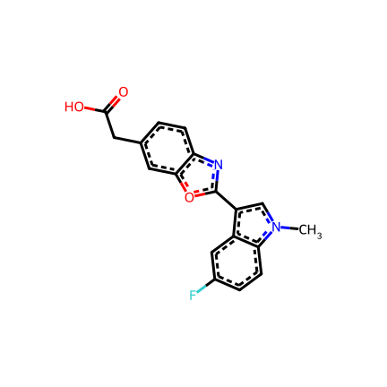 Cn1cc(-c2nc3ccc(CC(=O)O)cc3o2)c2cc(F)ccc21